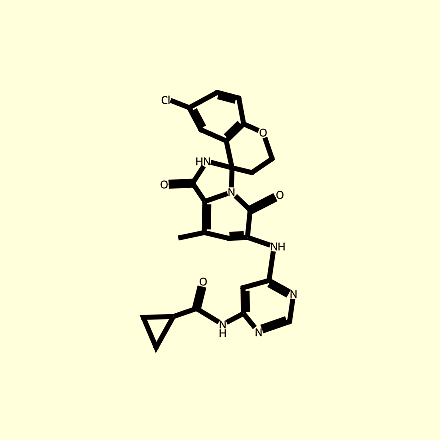 Cc1cc(Nc2cc(NC(=O)C3CC3)ncn2)c(=O)n2c1C(=O)NC21CCOc2ccc(Cl)cc21